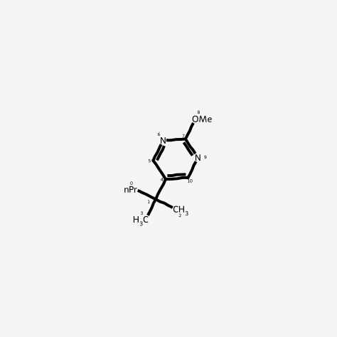 CCCC(C)(C)c1cnc(OC)nc1